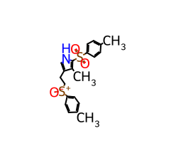 Cc1ccc([S+]([O-])CCc2c[nH]c(S(=O)(=O)c3ccc(C)cc3)c2C)cc1